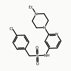 CCN1CCN(c2cc(NS(=O)(=O)Cc3ccc(Cl)cc3)ccn2)CC1